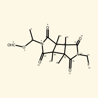 CC(OC=O)N1C(=O)C2(C)C3(C)C(=O)N(CF)C(=O)C3(C)C2(C)C1=O